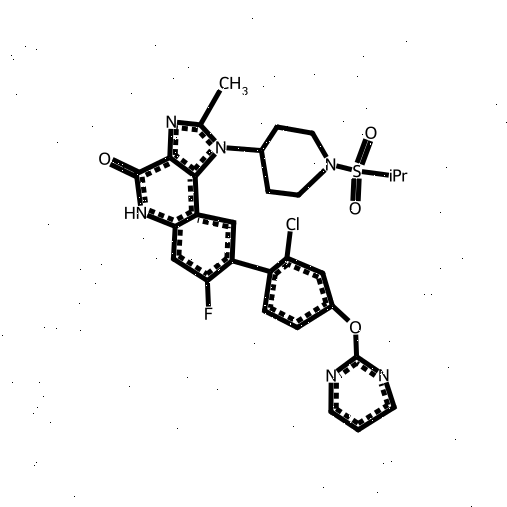 Cc1nc2c(=O)[nH]c3cc(F)c(-c4ccc(Oc5ncccn5)cc4Cl)cc3c2n1C1CCN(S(=O)(=O)C(C)C)CC1